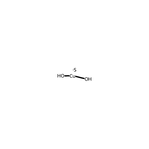 [OH][Cu][OH].[S]